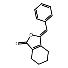 O=C1O/C(=C\c2ccccc2)C2=C1CCCC2